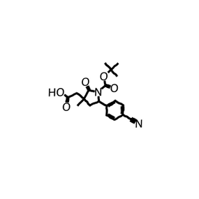 CC(C)(C)OC(=O)N1C(=O)C(C)(CC(=O)O)CC1c1ccc(C#N)cc1